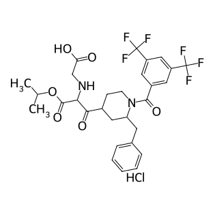 CC(C)OC(=O)C(NCC(=O)O)C(=O)C1CCN(C(=O)c2cc(C(F)(F)F)cc(C(F)(F)F)c2)C(Cc2ccccc2)C1.Cl